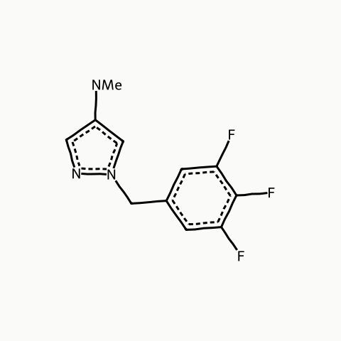 CNc1cnn(Cc2cc(F)c(F)c(F)c2)c1